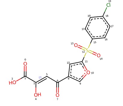 O=C(O)/C(O)=C/C(=O)c1coc(S(=O)(=O)c2ccc(Cl)cc2)c1